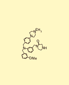 COc1cccc(CN(Cc2ccc(N3CCN(C)CC3)cc2)c2cccc(CN3CCNCC3=O)c2)c1